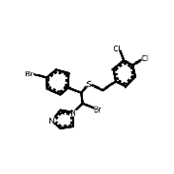 Clc1ccc(CSC(c2ccc(Br)cc2)C(Br)n2ccnc2)cc1Cl